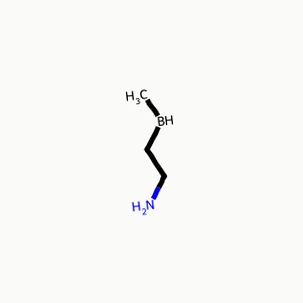 CBCCN